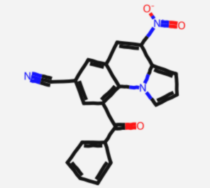 N#Cc1cc(C(=O)c2ccccc2)c2c(c1)cc([N+](=O)[O-])c1cccn12